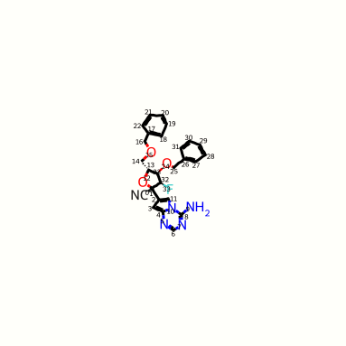 N#CC1(c2cc3ncnc(N)n3c2)O[C@H](COCc2ccccc2)[C@@H](OCc2ccccc2)[C@H]1F